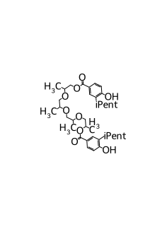 CCCC(C)c1cc(C(=O)OCC(C)OCC(C)OCC(C)OCC(C)OC(=O)c2ccc(O)c(C(C)CCC)c2)ccc1O